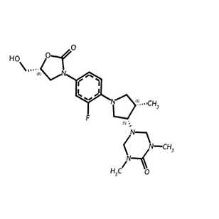 C[C@H]1CN(c2ccc(N3C[C@H](CO)OC3=O)cc2F)C[C@H]1N1CN(C)C(=O)N(C)C1